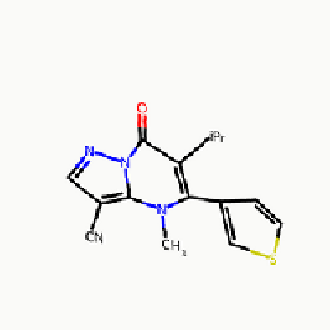 CC(C)c1c(-c2ccsc2)n(C)c2c(C#N)cnn2c1=O